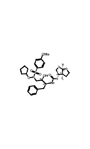 COc1ccc(S(=O)(=O)N(C[C@@H](O)[C@H](Cc2ccccc2)NC(=O)O[C@@H]2CO[C@H]3OCC[C@H]32)OC2CCCC2)cc1